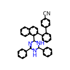 N#Cc1ccc(-c2ccccc2-c2ccc3ccccc3c2C2N=C(c3ccccc3)NC(c3ccccc3)N2)cc1